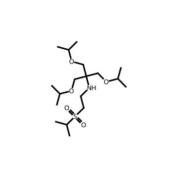 CC(C)OCC(COC(C)C)(COC(C)C)NCCS(=O)(=O)C(C)C